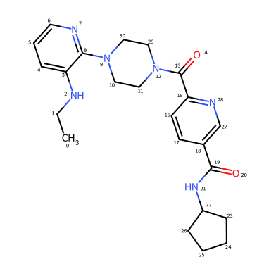 CCNc1cccnc1N1CCN(C(=O)c2ccc(C(=O)NC3CCCC3)cn2)CC1